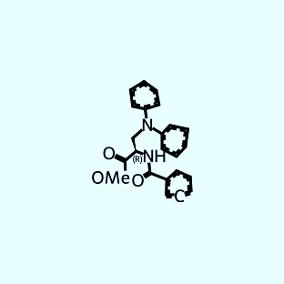 COC(=O)[C@@H](CN(c1ccccc1)c1ccccc1)NC(=O)c1ccccc1